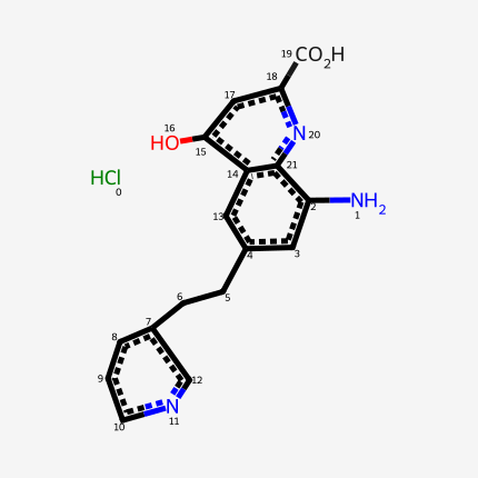 Cl.Nc1cc(CCc2cccnc2)cc2c(O)cc(C(=O)O)nc12